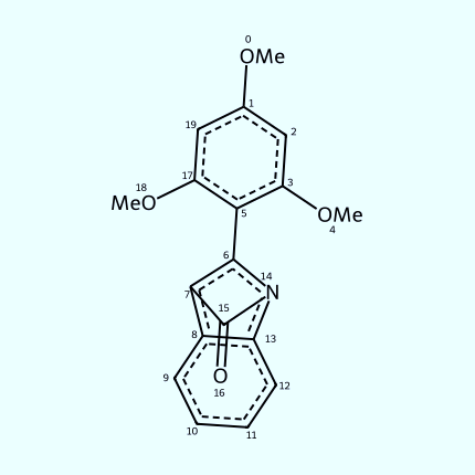 COc1cc(OC)c(-c2c3c4ccccc4n2C3=O)c(OC)c1